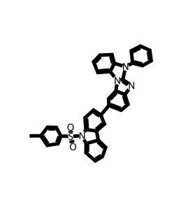 Cc1ccc(S(=O)(=O)n2c3ccccc3c3cc(-c4ccc5nc6n(-c7ccccc7)c7ccccc7n6c5c4)ccc32)cc1